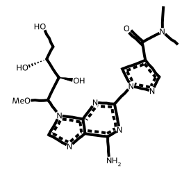 COC([C@H](O)[C@H](O)CO)n1cnc2c(N)nc(-n3cc(C(=O)N(C)C)cn3)nc21